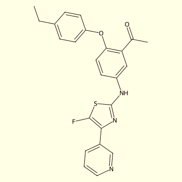 CCc1ccc(Oc2ccc(Nc3nc(-c4cccnc4)c(F)s3)cc2C(C)=O)cc1